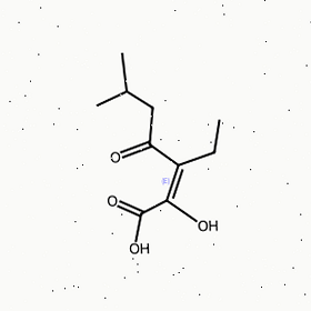 CC/C(C(=O)CC(C)C)=C(\O)C(=O)O